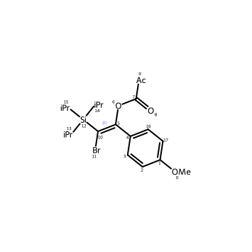 COc1ccc(/C(OC(=O)C(C)=O)=C(\Br)[Si](C(C)C)(C(C)C)C(C)C)cc1